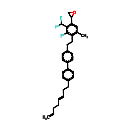 C=CCC/C=C/CCc1ccc(-c2ccc(CCc3c(C)cc(C4CO4)c(C(F)F)c3F)cc2)cc1